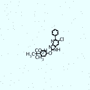 CC(C)(C(=O)O)c1ccc(Oc2nc3nc(-c4ccccc4)c(Cl)cc3[nH]2)cc1